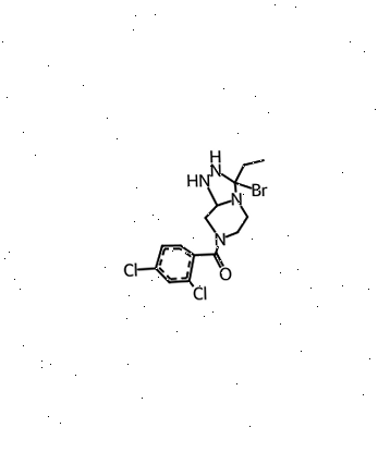 CCC1(Br)NNC2CN(C(=O)c3ccc(Cl)cc3Cl)CCN21